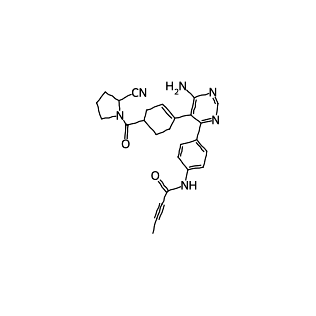 CC#CC(=O)Nc1ccc(-c2ncnc(N)c2C2=CCC(C(=O)N3CCCC3C#N)CC2)cc1